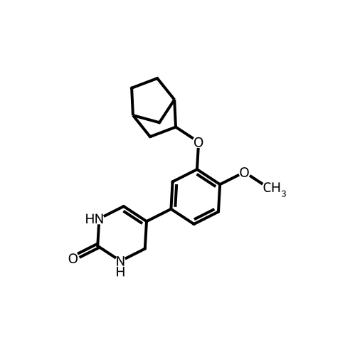 COc1ccc(C2=CNC(=O)NC2)cc1OC1CC2CCC1C2